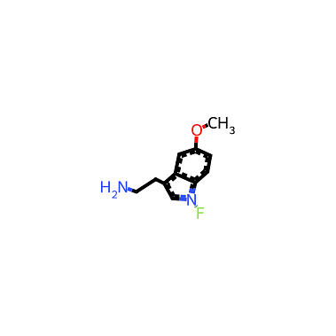 COc1ccc2c(c1)c(CCN)cn2F